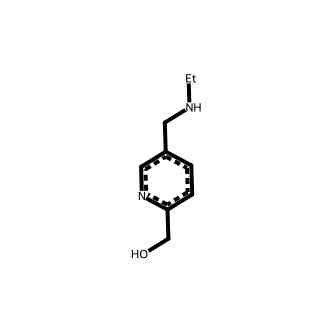 CCNCc1ccc(CO)nc1